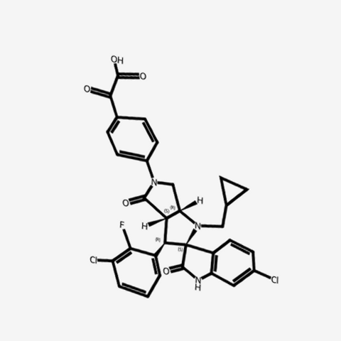 O=C(O)C(=O)c1ccc(N2C[C@H]3[C@@H](C2=O)[C@H](c2cccc(Cl)c2F)[C@]2(C(=O)Nc4cc(Cl)ccc42)N3CC2CC2)cc1